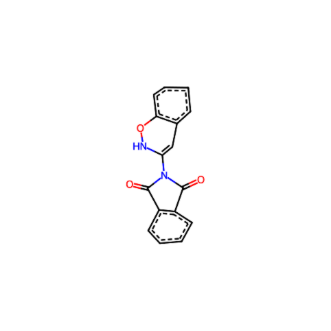 O=C1c2ccccc2C(=O)N1C1=Cc2ccccc2ON1